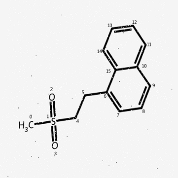 CS(=O)(=O)CCc1cccc2ccccc12